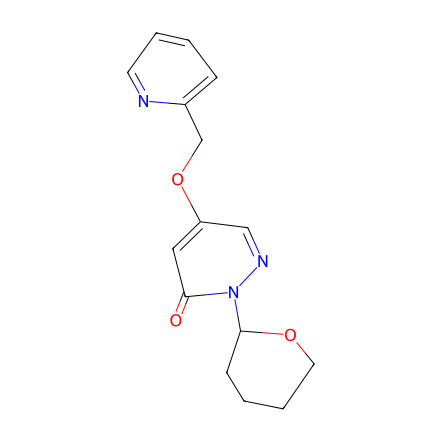 O=c1cc(OCc2ccccn2)cnn1C1CCCCO1